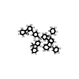 CC1(C)c2ccccc2-c2ccc(N(c3ccc(-c4cccc5c4sc4ccccc45)cc3)c3ccc4c(c3)c3c5c6ccccc6n(-c6ccccc6)c5ccc3n4-c3ccccc3)cc21